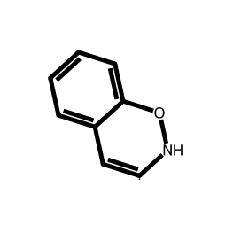 [C]1=Cc2ccccc2ON1